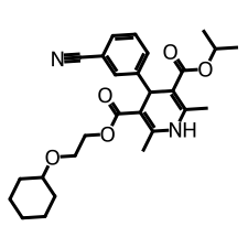 CC1=C(C(=O)OCCOC2CCCCC2)C(c2cccc(C#N)c2)C(C(=O)OC(C)C)=C(C)N1